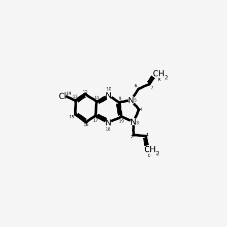 C=CCN1CN(CC=C)c2nc3cc(Cl)ccc3nc21